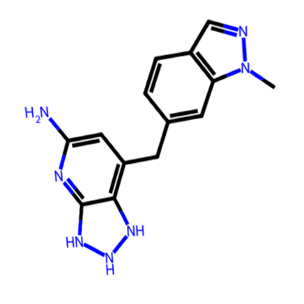 Cn1ncc2ccc(Cc3cc(N)nc4c3NNN4)cc21